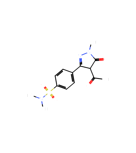 CC(=O)C1C(=O)N(C)N=C1c1ccc(S(=O)(=O)N(C)C)cc1